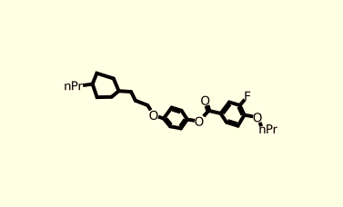 CCCOc1ccc(C(=O)Oc2ccc(OCCCC3CCC(CCC)CC3)cc2)cc1F